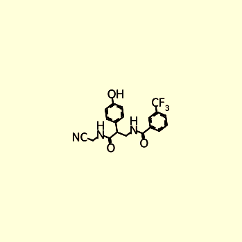 N#CCNC(=O)C(CNC(=O)c1cccc(C(F)(F)F)c1)c1ccc(O)cc1